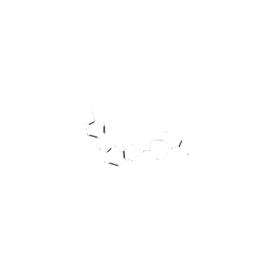 Cc1ccc(Nc2ncc3c(n2)CN([C@@H]2CCN(C(=O)O)[C@H](C)C2)C3)cn1